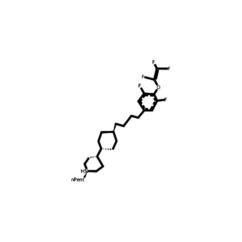 CCCCC[Si@H]1CC[C@H]([C@H]2CC[C@H](CCCCc3cc(F)c(OC(F)=C(F)F)c(F)c3)CC2)CC1